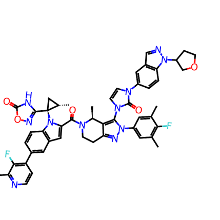 Cc1cc(-n2nc3c(c2-n2ccn(-c4ccc5c(cnn5C5CCOC5)c4)c2=O)[C@H](C)N(C(=O)c2cc4cc(-c5ccnc(C)c5F)ccc4n2[C@@]2(c4noc(=O)[nH]4)C[C@@H]2C)CC3)cc(C)c1F